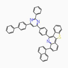 c1ccc(-c2ccc(-c3cc(-c4ccc(-c5nc6c(-c7cccc8ccccc78)cccc6c6sc7ccccc7c56)cc4)nc(-c4ccccc4)n3)cc2)cc1